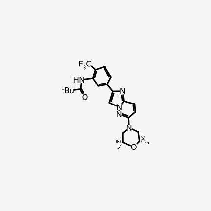 C[C@@H]1CN(c2ccc3nc(-c4ccc(C(F)(F)F)c(NC(=O)C(C)(C)C)c4)cn3n2)C[C@H](C)O1